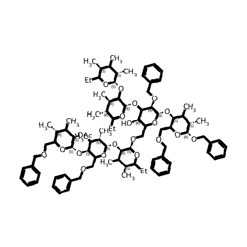 CCC1O[C@H](OCC2O[C@@H](O[C@@H]3C(COCc4ccccc4)O[C@@H](OCc4ccccc4)[C@@H](C)C3C)[C@H](OCc3ccccc3)C(O[C@@H]3OC(CC)[C@H](C)[C@@H](C)C3O[C@@H]3OC(CC)[C@@H](C)C(C)[C@@H]3C)[C@@H]2O)[C@H](O[C@@H]2OC(COCc3ccccc3)[C@@H](O[C@@H]3OC(COCc4ccccc4)[C@H](C)C(C)[C@@H]3OC(C)=O)C(C)[C@@H]2C)C(C)[C@@H]1C